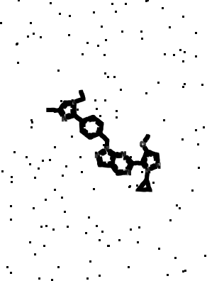 CCn1cc(C)nc1-c1ccc(Cn2ncc3cnc(-c4c(OC)cnn4C4CC4)nc32)cc1